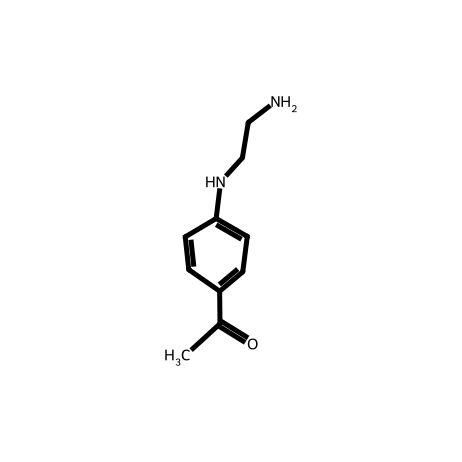 CC(=O)c1ccc(NCCN)cc1